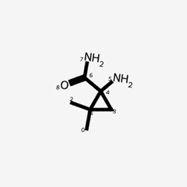 CC1(C)CC1(N)C(N)=O